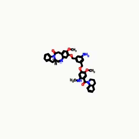 CNc1cc(OCc2cc(N)cc(COc3cc4c(cc3OC)CC(=O)N3c5ccccc5C[C@H]3/C=N\4)c2)c(OC)cc1C(=O)N1CCCc2ccccc21